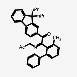 CCCC1(CCC)c2ccccc2-c2ccc(C(=O)/C(=N\CC(C)=O)c3c(C)cccc3-c3ccccc3)cc21